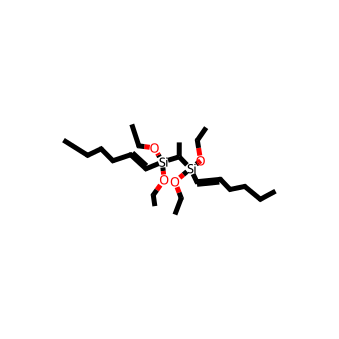 CCCCC=C[Si](OCC)(OCC)C(C)[Si](C=CCCCC)(OCC)OCC